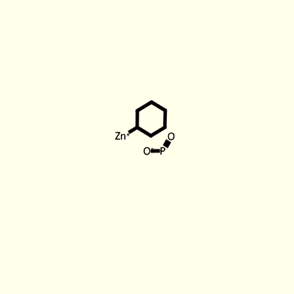 O=P[O-].[Zn+][CH]1CCCCC1